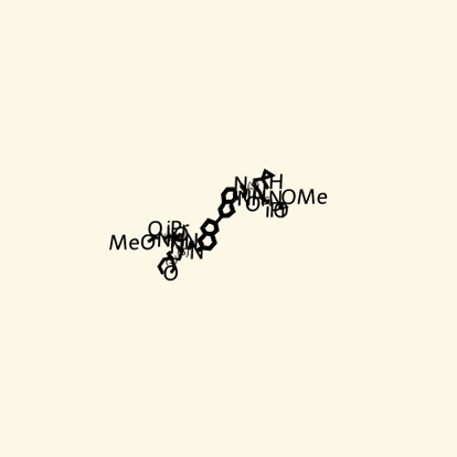 COC(=O)N[C@H](C(=O)N1CC2(CC2)C[C@H]1c1nc2ccc3cc(-c4ccc5c(ccc6nc([C@@H]7C[C@@]8(CCCOC8)CN7C(=O)[C@@H](NC(=O)OC)C(C)C)[nH]c65)c4)ccc3c2[nH]1)C(C)C